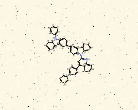 c1ccc(-c2ccc(-c3cc(-n4c5ccccc5c5cc(-c6ccc7c(c6)c6ccccc6n7-c6ccccc6)ccc54)nc4ccccc34)cc2)cc1